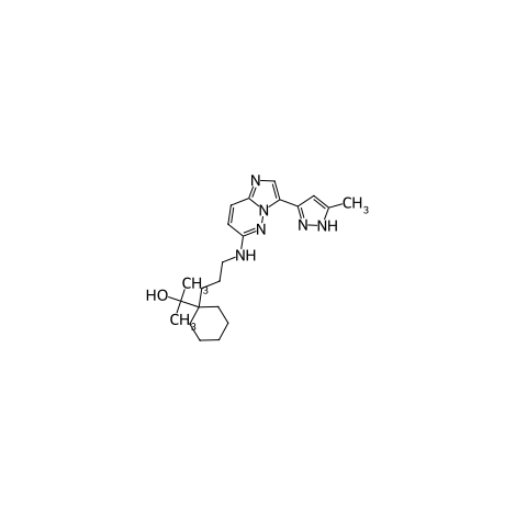 Cc1cc(-c2cnc3ccc(NCCCC4(C(C)(C)O)CCCCC4)nn23)n[nH]1